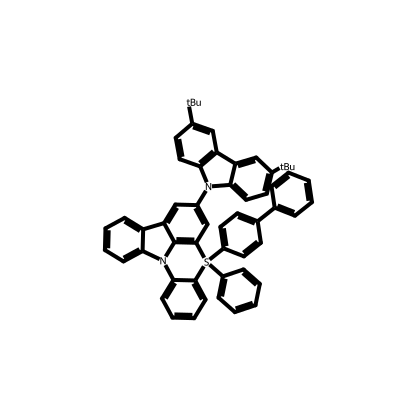 CC(C)(C)c1ccc2c(c1)c1cc(C(C)(C)C)ccc1n2-c1cc2c3c(c1)c1ccccc1n3-c1ccccc1S2(c1ccccc1)c1ccc(-c2ccccc2)cc1